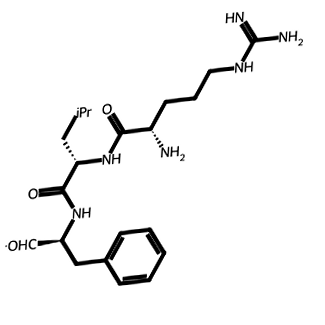 CC(C)C[C@H](NC(=O)[C@@H](N)CCCNC(=N)N)C(=O)N[C@H]([C]=O)Cc1ccccc1